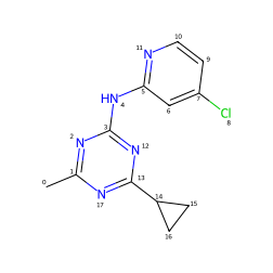 Cc1nc(Nc2cc(Cl)ccn2)nc(C2CC2)n1